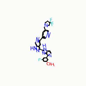 Oc1cc(F)cc(-c2nccc3[nH]c(-c4n[nH]c5cnc(-c6cncc(CN7CCC(F)(F)C7)c6)cc45)nc23)c1